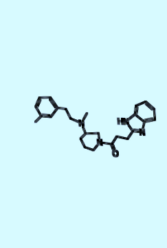 Cc1cccc(CCN(C)C2CCCN(C(=O)CCc3nc4ccccc4[nH]3)C2)c1